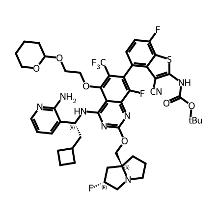 CC(C)(C)OC(=O)Nc1sc2c(F)ccc(-c3c(C(F)(F)F)c(OCCOC4CCCCO4)c4c(N[C@H](CC5CCC5)c5cccnc5N)nc(OC[C@@]56CCCN5C[C@H](F)C6)nc4c3F)c2c1C#N